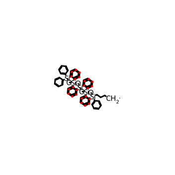 [CH2]CCC[Si](O[Si](O[Si](O[Si](O[Si](c1ccccc1)(c1ccccc1)c1ccccc1)(c1ccccc1)c1ccccc1)(c1ccccc1)c1ccccc1)(c1ccccc1)c1ccccc1)(c1ccccc1)c1ccccc1